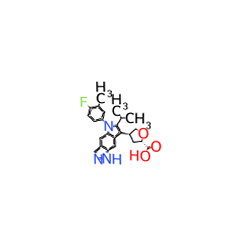 Cc1cc(-n2c(C(C)C)c([C@H]3CO[C@H](C(=O)O)C3)c3cc4[nH]ncc4cc32)ccc1F